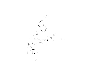 COC(=O)[C@@H](NC(=O)NC(C(=O)N1C[C@H](Oc2nccc3cc(OC)ccc23)C[C@H]1C(=O)N[C@]1(C(=O)NS(=O)(=O)C2CC2)C[C@H]1I)C(C)(C)C)C(C)C